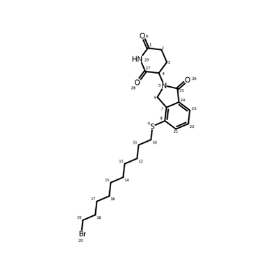 O=C1CCC(N2Cc3c(SCCCCCCCCCCBr)cccc3C2=O)C(=O)N1